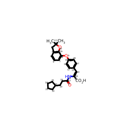 CC1(C)Cc2cccc(Oc3ccc(C=C(NC(=O)CCC4CCCC4)C(=O)O)cc3)c2O1